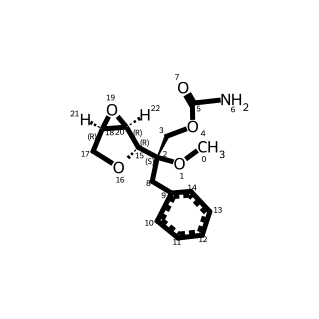 CO[C@](COC(N)=O)(Cc1ccccc1)[C@@H]1OC[C@H]2O[C@@H]12